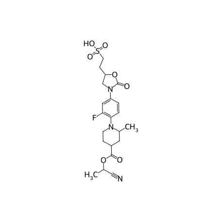 CC(C#N)OC(=O)C1CCN(c2ccc(N3CC(CCS(=O)(=O)O)OC3=O)cc2F)C(C)C1